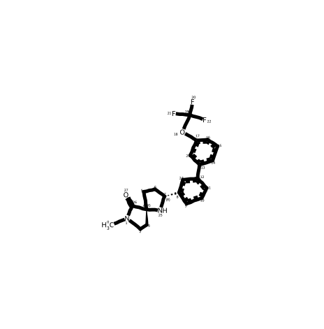 CN1CC[C@]2(CC[C@H](c3cccc(-c4cccc(OC(F)(F)F)c4)c3)N2)C1=O